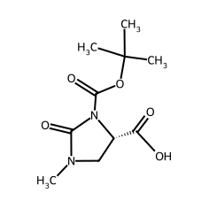 CN1C[C@@H](C(=O)O)N(C(=O)OC(C)(C)C)C1=O